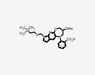 COC1COc2nc3c(ccn3COCC[Si](C)(C)C)cc2N(c2ccccc2C(=O)O)C1